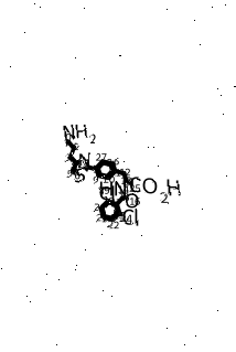 NCCCc1csc(-c2ccc(C[C@H](NC(=O)c3c(Cl)cccc3Cl)C(=O)O)cc2)n1